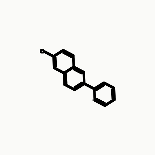 Clc1ccc2cc(-c3[c]cccc3)ccc2c1